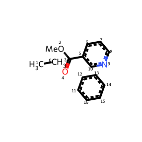 CC.COC(=O)c1cccnc1.c1ccccc1